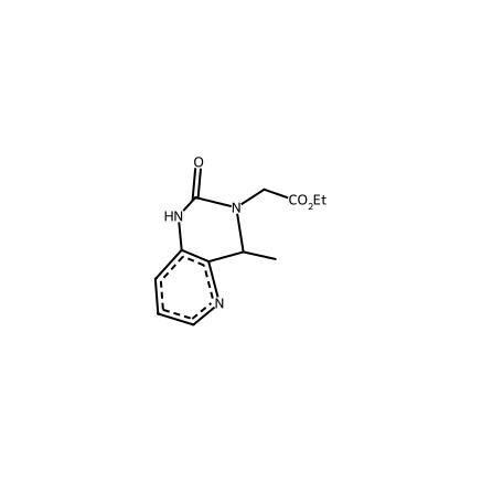 CCOC(=O)CN1C(=O)Nc2cccnc2C1C